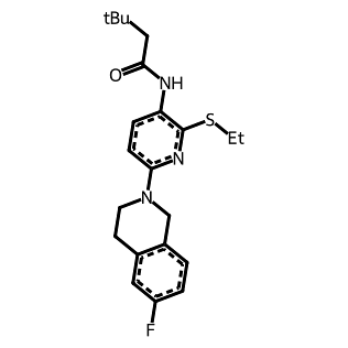 CCSc1nc(N2CCc3cc(F)ccc3C2)ccc1NC(=O)CC(C)(C)C